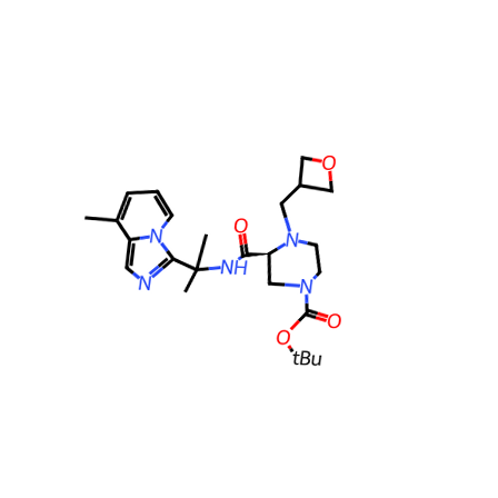 Cc1cccn2c(C(C)(C)NC(=O)[C@@H]3CN(C(=O)OC(C)(C)C)CCN3CC3COC3)ncc12